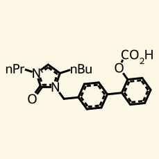 CCCCc1cn(CCC)c(=O)n1Cc1ccc(-c2ccccc2OC(=O)O)cc1